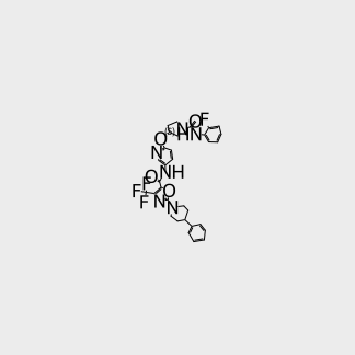 O=C(Nc1ccc(O[C@H]2CCN(C(=O)Nc3ccccc3F)C2)nc1)c1oc(N2CCC(c3ccccc3)CC2)nc1C(F)(F)F